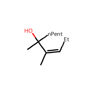 CCC=C(C)C(C)(O)CCCCC